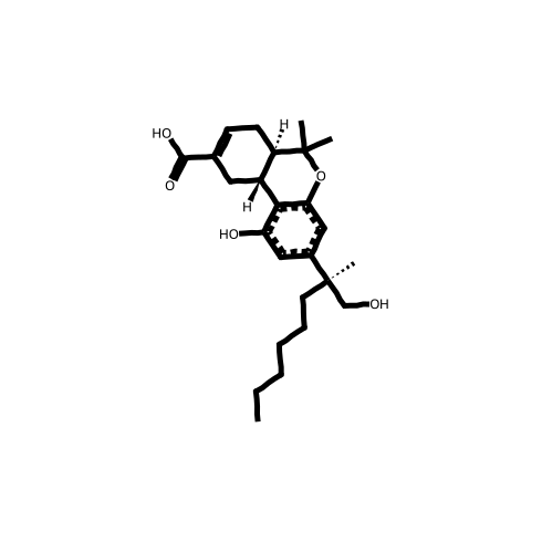 CCCCCC[C@](C)(CO)c1cc(O)c2c(c1)OC(C)(C)[C@@H]1CC=C(C(=O)O)C[C@@H]21